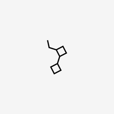 CC[C]1CCC1C1CCC1